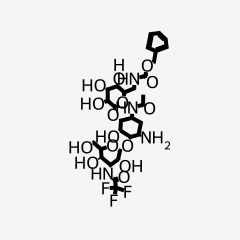 CC(=O)NC1C[C@@H](N)[C@@H](O[C@H]2OC(CO)[C@@H](O)[C@@H](NC(=O)C(F)(F)F)C2O)C(O)[C@@H]1O[C@H]1OC(CNC(=O)OCc2ccccc2)[C@@H](O)[C@H](O)C1O